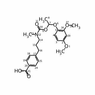 COc1ccc(OC(C)OC(=O)N(C)CCCc2ccc(C(=O)O)cc2)c(OC)c1